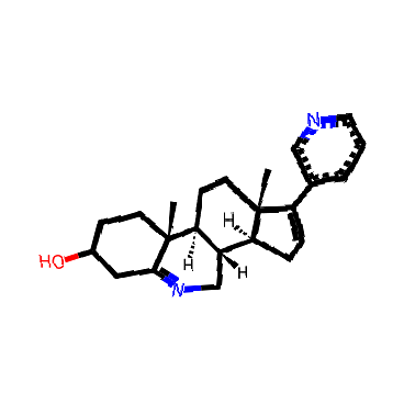 C[C@]12CCC(O)CC1=NC[C@@H]1[C@@H]2CC[C@]2(C)C(c3cccnc3)=CC[C@@H]12